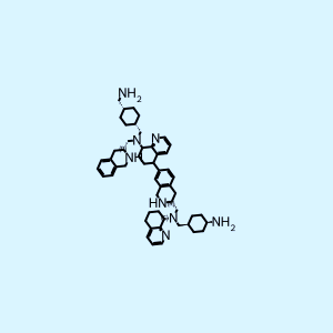 NC[C@H]1CC[C@@H](CN(C[C@H]2Cc3ccccc3CN2)C2CCC(c3ccc4c(c3)CN[C@@H](CN(C[C@H]3CC[C@@H](N)CC3)[C@H]3CCCc5cccnc53)C4)c3cccnc32)CC1